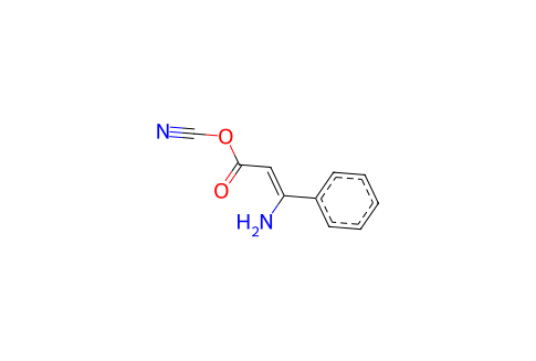 N#COC(=O)C=C(N)c1ccccc1